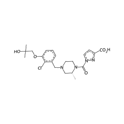 C[C@@H]1CN(Cc2cccc(OCC(C)(C)O)c2Cl)CCN1C(=O)n1ccc(C(=O)O)n1